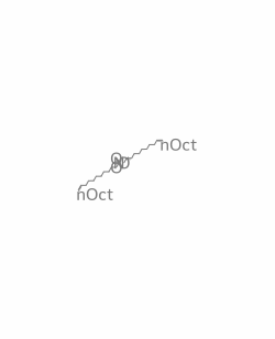 CCCCCCCC/C=C\CCCCCCCCO[N+](=O)OCCCCCCCC/C=C\CCCCCCCC